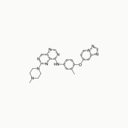 Cc1cc(Nc2ncnc3cnc(N4CCN(C)CC4)nc23)ccc1Oc1ccn2ncnc2c1